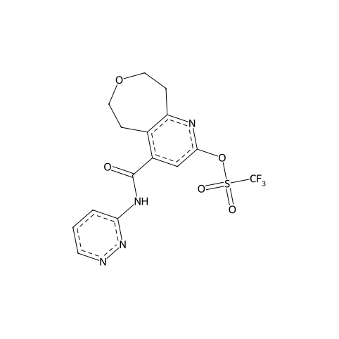 O=C(Nc1cccnn1)c1cc(OS(=O)(=O)C(F)(F)F)nc2c1CCOCC2